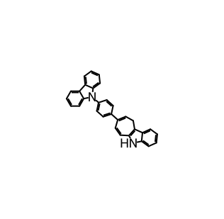 C1=Cc2[nH]c3ccccc3c2CC=C1c1ccc(-n2c3ccccc3c3ccccc32)cc1